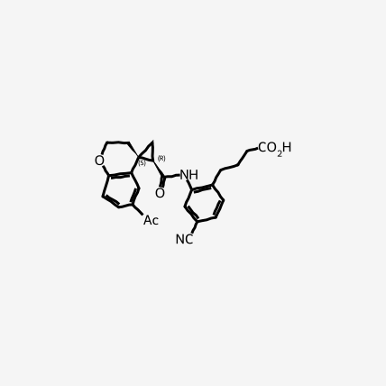 CC(=O)c1ccc2c(c1)[C@]1(CCO2)C[C@H]1C(=O)Nc1cc(C#N)ccc1CCCC(=O)O